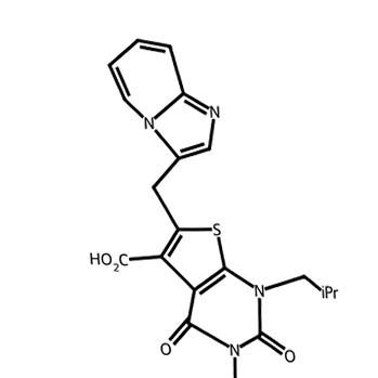 CC(C)Cn1c(=O)n(C)c(=O)c2c(C(=O)O)c(Cc3cnc4ccccn34)sc21